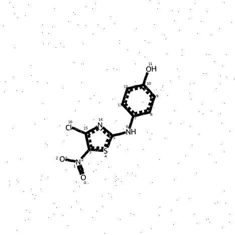 O=[N+]([O-])c1sc(Nc2ccc(O)cc2)nc1Cl